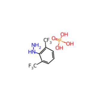 NNc1c(C(F)(F)F)cccc1C(F)(F)F.O=P(O)(O)O